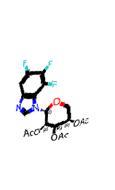 CC(=O)O[C@@H]1[C@H](OC(C)=O)[C@H](OC(C)=O)CO[C@H]1n1cnc2cc(F)c(F)c(F)c21